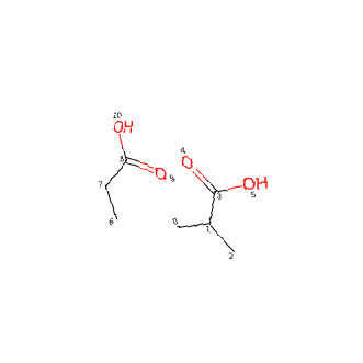 CC(C)C(=O)O.CCC(=O)O